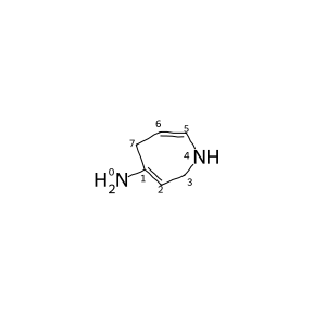 NC1=CCNC=CC1